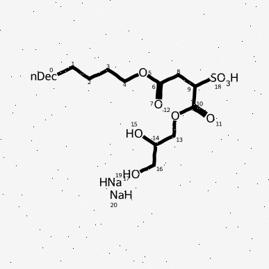 CCCCCCCCCCCCCCOC(=O)CC(C(=O)OCC(O)CO)S(=O)(=O)O.[NaH].[NaH]